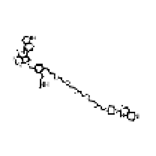 CNCCc1cc(Cn2nc(-c3cnc4c(c3)CCN4)c3c(N)ncnc32)ccc1CCCOCCOCCOCCOCCOCCN1CCN(c2ncc3c(n2)CCNC3)CC1